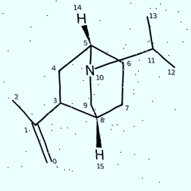 C=C(C)C1C[C@@H]2CC[C@H]1CN2C(C)C